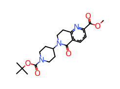 COC(=O)c1ccc2c(n1)CCN(C1CCN(C(=O)OC(C)(C)C)CC1)C2=O